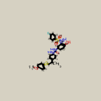 CC(CSc1ccc(OC(F)(F)F)cc1)c1ccc(NC(=O)Nc2ccc(O)c(NS(=O)(=O)c3ccc(F)cc3)c2)cc1